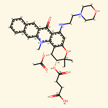 CC(=O)O[C@@H]1c2c(cc(NCCN3CCOCC3)c3c(=O)c4cc5ccccc5cc4n(C)c23)OC(C)(C)[C@@H]1OC(=O)CCC(=O)O